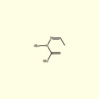 C=C(N(/N=C\C)C(C)(C)C)C(C)(C)C